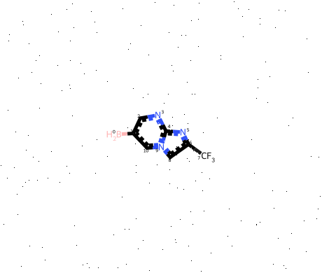 Bc1cnc2nc(C(F)(F)F)cn2c1